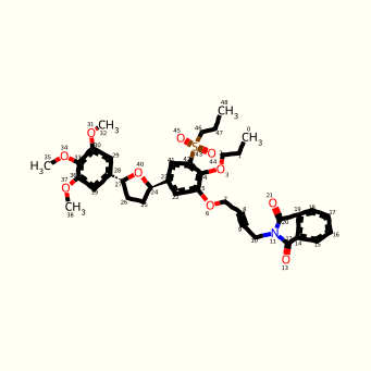 CCCOc1c(OCC#CCN2C(=O)c3ccccc3C2=O)cc([C@H]2CC[C@H](c3cc(OC)c(OC)c(OC)c3)O2)cc1S(=O)(=O)CCC